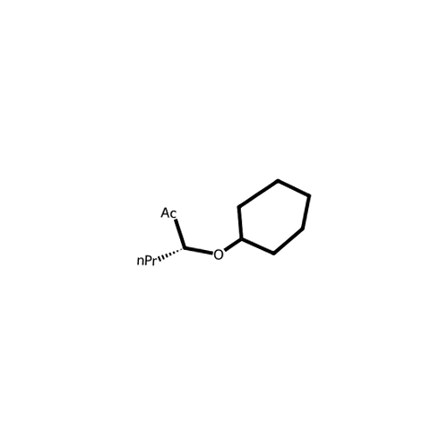 CCC[C@@H](OC1CCCCC1)C(C)=O